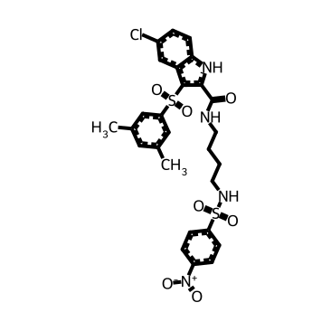 Cc1cc(C)cc(S(=O)(=O)c2c(C(=O)NCCCCNS(=O)(=O)c3ccc([N+](=O)[O-])cc3)[nH]c3ccc(Cl)cc23)c1